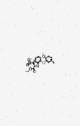 CCOC(=O)c1nc2c(Oc3cc(F)ccc3OC)cccn2c1[N+](=O)[O-]